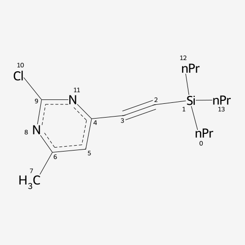 CCC[Si](C#Cc1cc(C)nc(Cl)n1)(CCC)CCC